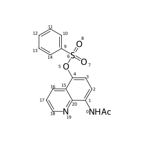 CC(=O)Nc1ccc(OS(=O)(=O)c2ccccc2)c2cccnc12